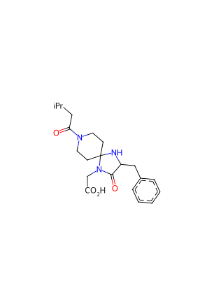 CC(C)CC(=O)N1CCC2(CC1)NC(Cc1ccccc1)C(=O)N2CC(=O)O